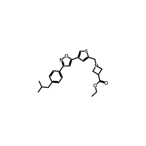 CCOC(=O)C1CN(Cc2cc(-c3cc(-c4ccc(CC(C)C)cc4)no3)cs2)C1